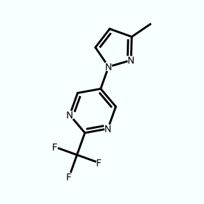 Cc1ccn(-c2cnc(C(F)(F)F)nc2)n1